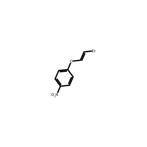 CCC=COc1ccc([N+](=O)[O-])cc1